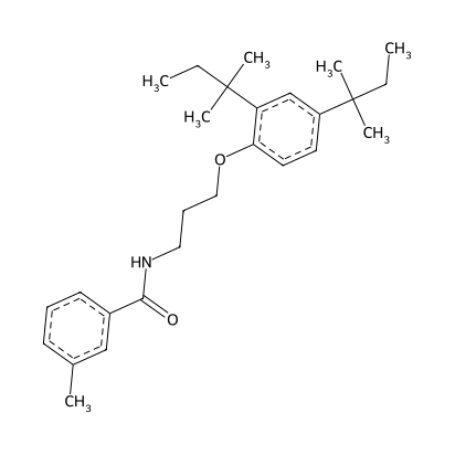 CCC(C)(C)c1ccc(OCCCNC(=O)c2cccc(C)c2)c(C(C)(C)CC)c1